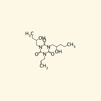 C=CCn1c(=O)n(CC(O)CC)c(=O)n(CC(O)CCC)c1=O